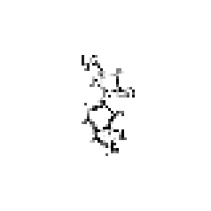 CC1=NN(c2ccc3ccnnc3c2)C(=O)C1